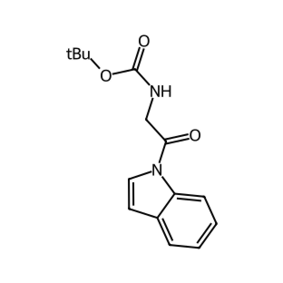 CC(C)(C)OC(=O)NCC(=O)n1ccc2ccccc21